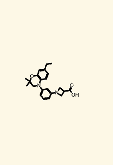 CCc1ccc2c(c1)OC(C)(C)CN2c1cccc(N2CC(C(=O)O)C2)c1